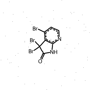 O=C1Nc2nccc(Br)c2C1(Br)Br